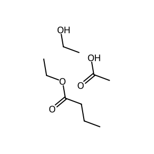 CC(=O)O.CCCC(=O)OCC.CCO